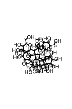 NC[C@H](O)C(C1O[C@H](CO)[C@H](O)[C@H](O)[C@H]1O)C(C1O[C@H](CO)[C@H](O)[C@H](O)[C@H]1O)(C1O[C@H](CO)[C@H](O)[C@H](O)[C@H]1O)[C@](C(=O)O)(C1O[C@H](CO)[C@H](O)[C@H](O)[C@H]1O)N(C1O[C@H](CO)[C@H](O)[C@H](O)[C@H]1O)C1O[C@H](CO)[C@H](O)[C@H](O)[C@H]1O